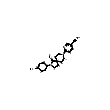 N#Cc1ccc(N2CCC3(CC2)CCN(C2CCC(O)CC2)C3=O)nc1